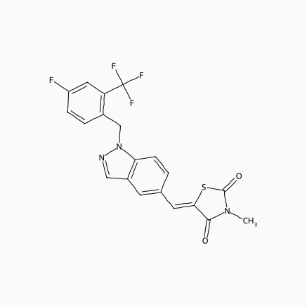 CN1C(=O)S/C(=C\c2ccc3c(cnn3Cc3ccc(F)cc3C(F)(F)F)c2)C1=O